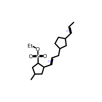 C/C=C/C1CCC(C/C=C/C2CC(C)CC2S(=O)(=O)OCC)C1